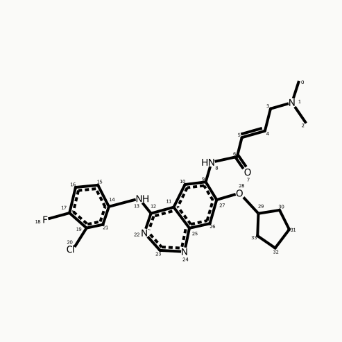 CN(C)CC=CC(=O)Nc1cc2c(Nc3ccc(F)c(Cl)c3)ncnc2cc1OC1CCCC1